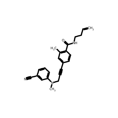 C=CCCNC(=O)c1ccc(C#CCN(C)c2cccc(C#N)c2)cc1C